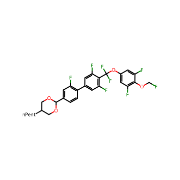 CCCCCC1COC(c2ccc(-c3cc(F)c(C(F)(F)Oc4cc(F)c(OCF)c(F)c4)c(F)c3)c(F)c2)OC1